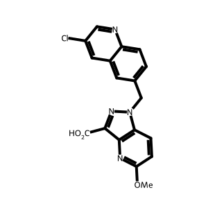 COc1ccc2c(n1)c(C(=O)O)nn2Cc1ccc2ncc(Cl)cc2c1